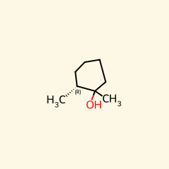 C[C@@H]1CCCCC1(C)O